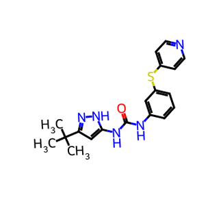 CC(C)(C)c1cc(NC(=O)Nc2cccc(Sc3ccncc3)c2)[nH]n1